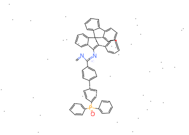 C=N/C(=N\C1=C(c2ccccc2)C2(c3ccccc31)c1ccccc1-c1ccccc12)c1ccc(-c2ccc(P(=O)(c3ccccc3)c3ccccc3)cc2)cc1